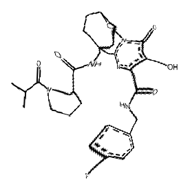 CC(C)C(=O)N1CCCC1C(=O)NC12CCC(CC1)Cn1c2nc(C(=O)NCc2ccc(F)cc2)c(O)c1=O